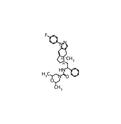 CC1CN(C(=O)NC(C[C@H]2CCC3=Cc4c(cnn4-c4ccc(F)cc4)C[C@]32C)c2ccccc2)CC(C)O1